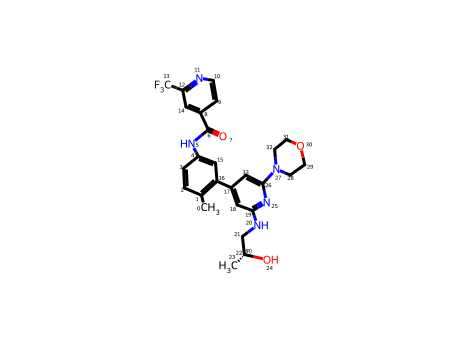 Cc1ccc(NC(=O)c2ccnc(C(F)(F)F)c2)cc1-c1cc(NC[C@@H](C)O)nc(N2CCOCC2)c1